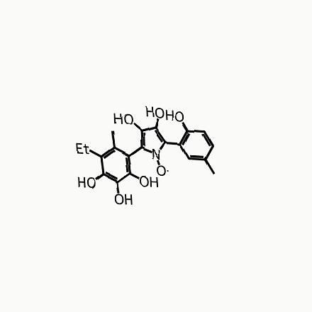 CCc1c(C)c(-c2c(O)c(O)c(-c3cc(C)ccc3O)n2[O])c(O)c(O)c1O